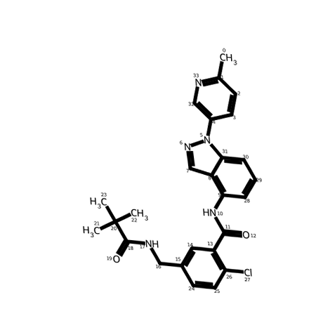 Cc1ccc(-n2ncc3c(NC(=O)c4cc(CNC(=O)C(C)(C)C)ccc4Cl)cccc32)cn1